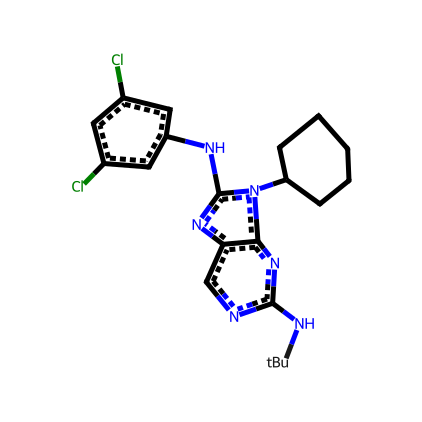 CC(C)(C)Nc1ncc2nc(Nc3cc(Cl)cc(Cl)c3)n(C3CCCCC3)c2n1